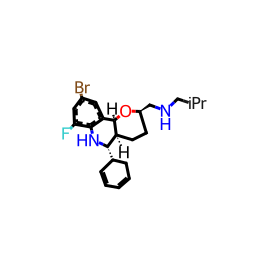 CC(C)CNC[C@H]1CC[C@@H]2[C@H](O1)c1cc(Br)cc(F)c1N[C@H]2C1C=CC=CC1